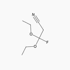 CCOC(F)(CC#N)OCC